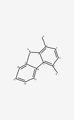 Cc1ccc(C)c2c1sc1ccccc12